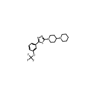 FC(F)(F)Oc1cccc(-c2nnc(N3CCC(N4CCCCC4)CC3)s2)c1